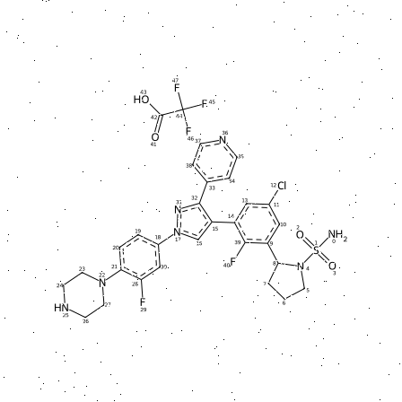 NS(=O)(=O)N1CCCC1c1cc(Cl)cc(-c2cn(-c3ccc(N4CCNCC4)c(F)c3)nc2-c2ccncc2)c1F.O=C(O)C(F)(F)F